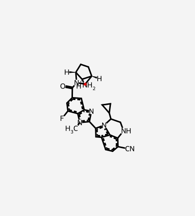 Cn1c(-c2cc3ccc(C#N)c4c3n2C(C2CC2)CN4)nc2cc(C(=O)N3C[C@H]4CC[C@@H]3[C@@H]4N)cc(F)c21